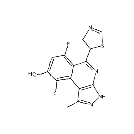 Cc1n[nH]c2nc(C3CN=CS3)c3c(F)cc(O)c(F)c3c12